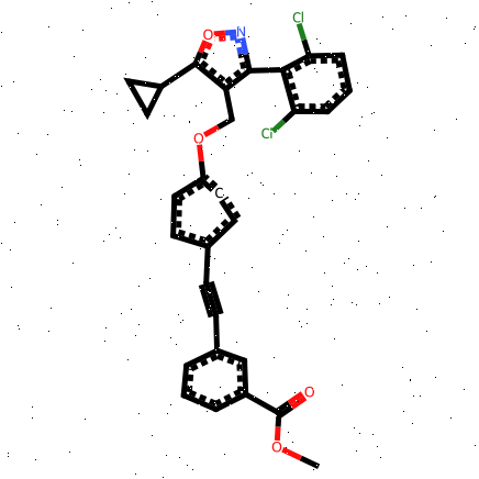 COC(=O)c1cccc(C#Cc2ccc(OCc3c(-c4c(Cl)cccc4Cl)noc3C3CC3)cc2)c1